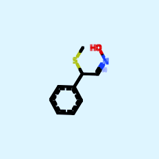 CSC(/C=N\O)c1ccccc1